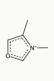 Cc1coc[n+]1C